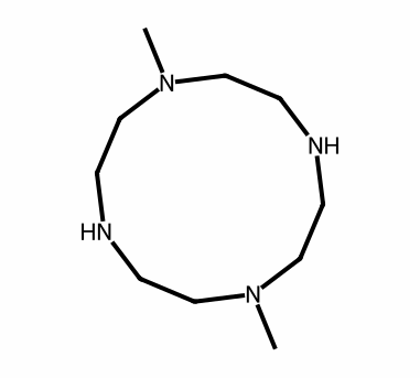 CN1CCNCCN(C)CCNCC1